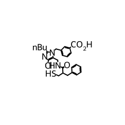 CCCCc1nc(Cl)c(CNC(=O)C(CS)Cc2ccccc2)n1Cc1cccc(C(=O)O)c1